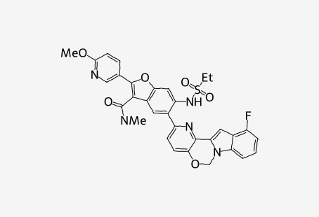 CCS(=O)(=O)Nc1cc2oc(-c3ccc(OC)nc3)c(C(=O)NC)c2cc1-c1ccc2c(n1)-c1cc3c(F)cccc3n1CO2